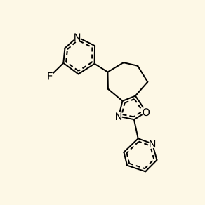 Fc1cncc(C2CCCc3oc(-c4ccccn4)nc3C2)c1